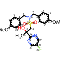 COc1ccc(CN(Cc2ccc(OC)cc2)S(=O)(=O)CC(C)(O)c2ncc(F)cn2)cc1